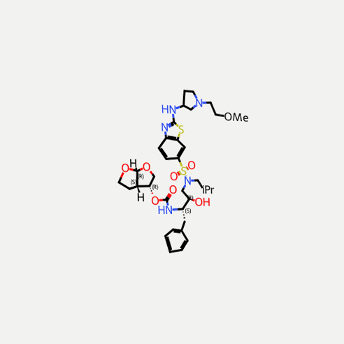 COCCN1CCC(Nc2nc3ccc(S(=O)(=O)N(CC(C)C)C[C@@H](O)[C@H](Cc4ccccc4)NC(=O)O[C@H]4CO[C@H]5OCC[C@H]54)cc3s2)C1